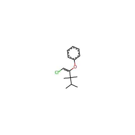 CC(C)C(C)(C)C(=CCl)Oc1ccccc1